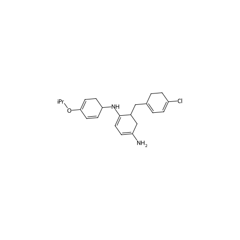 CC(C)OC1=CCC(NC2=CC=C(N)CC2CC2=CC=C(Cl)CC2)C=C1